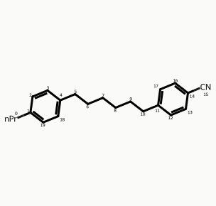 CCCc1ccc(CCCCCCc2ccc(C#N)cc2)cc1